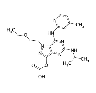 CCOCCn1nc(OC(=O)O)c2nc(NC(C)C)nc(Nc3cc(C)ccn3)c21